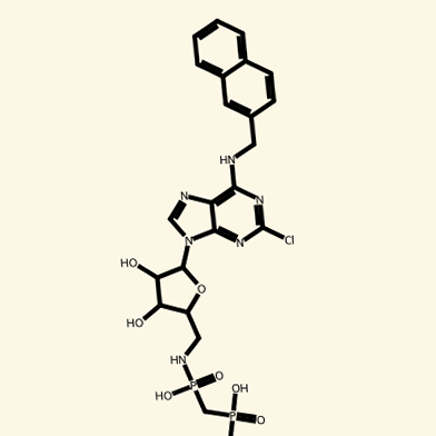 O=P(O)(O)CP(=O)(O)NCC1OC(n2cnc3c(NCc4ccc5ccccc5c4)nc(Cl)nc32)C(O)C1O